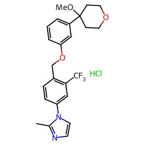 COC1(c2cccc(OCc3ccc(-n4ccnc4C)cc3C(F)(F)F)c2)CCOCC1.Cl